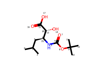 CC(C)C[C@H](NC(=O)OC(C)(C)C)[C@@H](O)C(=O)O